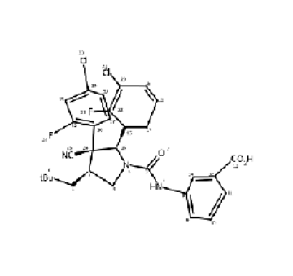 CC(C)(C)C[C@@H]1CN(C(=O)Nc2cccc(C(=O)O)c2)[C@H](C2CC=CC(Cl)=C2F)[C@@]1(C#N)c1ccc(Cl)cc1F